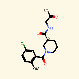 CCC(=O)CNC(=O)[C@H]1CCCN(C(=O)c2cc(Cl)ccc2OC)C1